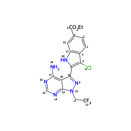 CCOC(=O)c1ccc2c(Cl)c(-c3nn(CC(F)(F)F)c4ncnc(N)c34)[nH]c2c1